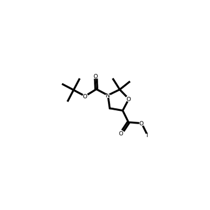 CC(C)(C)OC(=O)N1CC(C(=O)OI)OC1(C)C